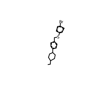 CCC1CCC(c2ccc(CSc3ccc(Br)cc3)cc2)CC1